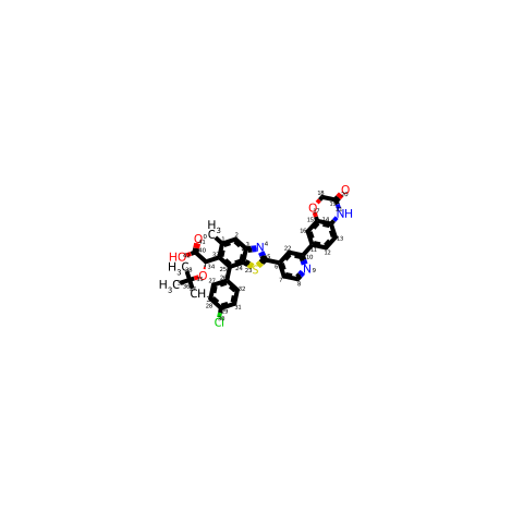 Cc1cc2nc(-c3ccnc(-c4ccc5c(c4)OCC(=O)N5)c3)sc2c(-c2ccc(Cl)cc2)c1[C@H](OC(C)(C)C)C(=O)O